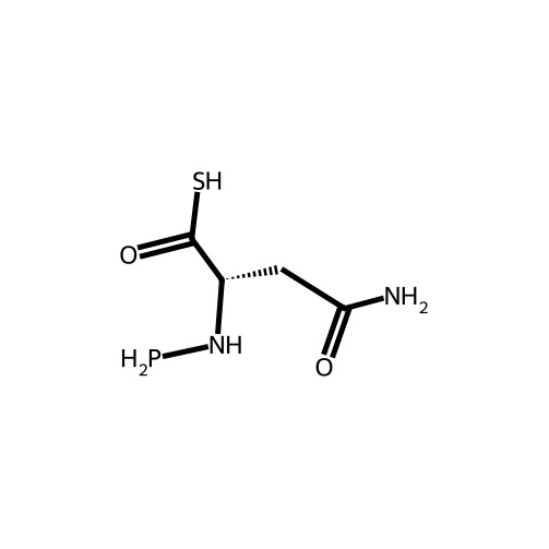 NC(=O)C[C@H](NP)C(=O)S